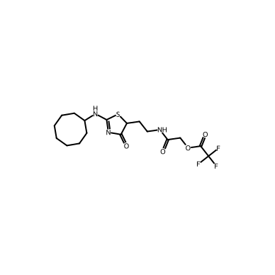 O=C(COC(=O)C(F)(F)F)NCCC1SC(NC2CCCCCCC2)=NC1=O